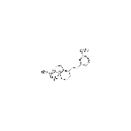 COc1cccc(CCC2=C3CC[C@H](OC(C)(C)C)[C@@]3(C)CCC2)c1